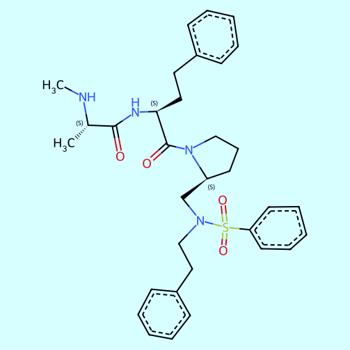 CN[C@@H](C)C(=O)N[C@@H](CCc1ccccc1)C(=O)N1CCC[C@H]1CN(CCc1ccccc1)S(=O)(=O)c1ccccc1